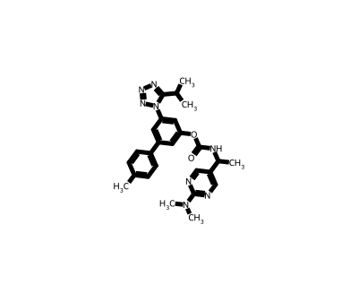 Cc1ccc(-c2cc(OC(=O)NC(C)c3cnc(N(C)C)nc3)cc(-n3nnnc3C(C)C)c2)cc1